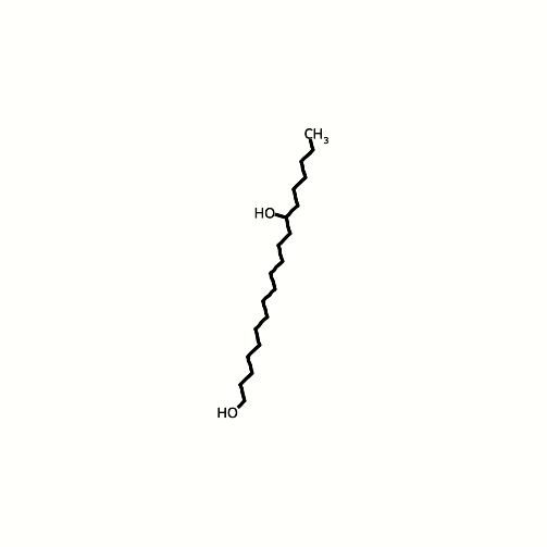 CCCCCCC(O)CCCCCCCCCCCCCO